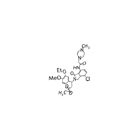 CCOc1cc(C(CS(C)(=O)=O)N2Cc3c(Cl)ccc(NC(=O)CN4CCN(C)CC4)c3C2=O)ccc1OC